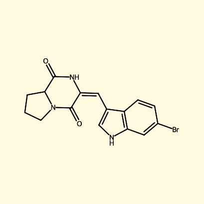 O=C1NC(=Cc2c[nH]c3cc(Br)ccc23)C(=O)N2CCCC12